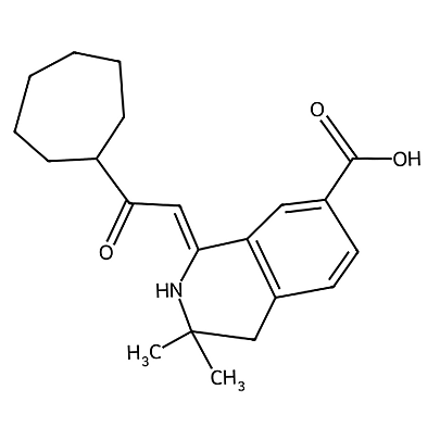 CC1(C)Cc2ccc(C(=O)O)cc2C(=CC(=O)C2CCCCCC2)N1